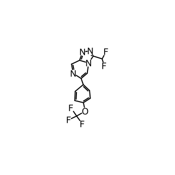 FC(F)c1nnc2cnc(-c3ccc(OC(F)(F)F)cc3)cn12